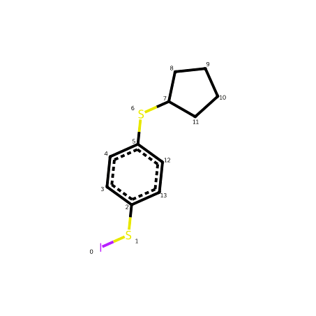 ISc1ccc(SC2CCCC2)cc1